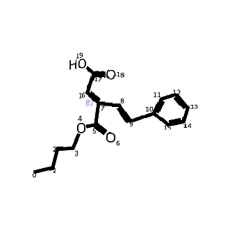 CCCCOC(=O)/C(C=Cc1ccccc1)=C/C(=O)O